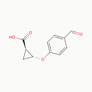 O=Cc1ccc(O[C@@H]2C[C@H]2C(=O)O)cc1